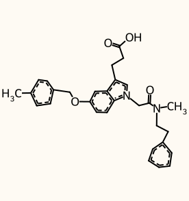 Cc1ccc(COc2ccc3c(c2)c(CCC(=O)O)cn3CC(=O)N(C)CCc2ccccc2)cc1